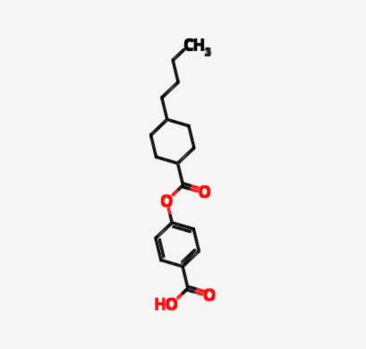 CCCCC1CCC(C(=O)Oc2ccc(C(=O)O)cc2)CC1